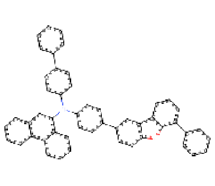 c1ccc(-c2ccc(N(c3ccc(-c4ccc5oc6c(-c7ccccc7)cccc6c5c4)cc3)c3cc4ccccc4c4ccccc34)cc2)cc1